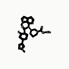 Cn1cc(-c2ccc(C(=O)N(c3nccc4ccn(C)c34)[C@@H]3CCCN(C(=O)OC(C)(C)C)C3)c(F)c2)cn1